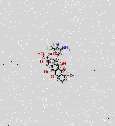 COc1cccc2c1C(=O)c1c(O)c3c(c(O)c1C2=O)C[C@@](O)(C(=O)CO)C[C@@H]3O[C@H]1C[C@H](N)[C@@H](N)[C@H](C)O1